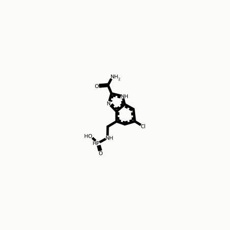 NC(=O)c1nc2c(CN[PH](=O)O)cc(Cl)cc2[nH]1